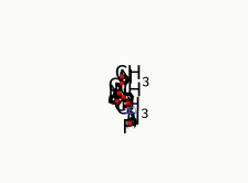 Cc1cc(C(=O)Nc2nc3cccc(C)c3n2[C@@H]2CCCCN(C(=O)/C=C/CN3CC[C@@H](F)C3)C2)ccn1